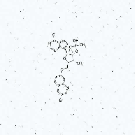 C[C@H]1[C@@H](OC(C)(C)O)[C@H](n2ccc3c(Cl)ncnc32)O[C@@H]1COc1ccc2cc(Br)cnc2c1